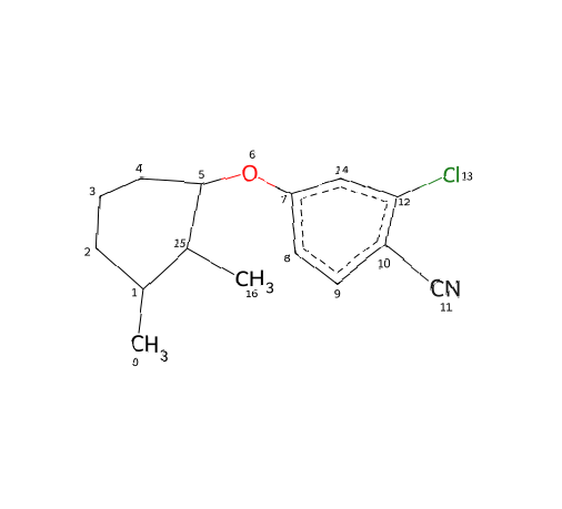 CC1CCCC(Oc2ccc(C#N)c(Cl)c2)C1C